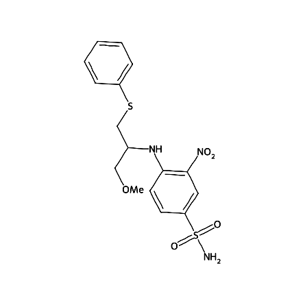 COCC(CSc1ccccc1)Nc1ccc(S(N)(=O)=O)cc1[N+](=O)[O-]